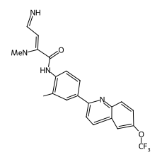 CN/C(=C\C=N)C(=O)Nc1ccc(-c2ccc3cc(OC(F)(F)F)ccc3n2)cc1C